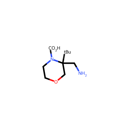 CC(C)(C)C1(CN)COCCN1C(=O)O